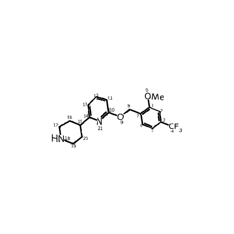 COc1cc(C(F)(F)F)ccc1COc1cccc(C2CCNCC2)n1